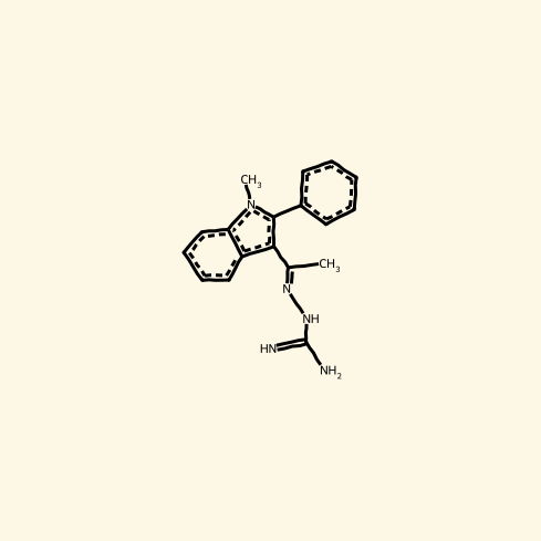 CC(=NNC(=N)N)c1c(-c2ccccc2)n(C)c2ccccc12